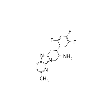 Cc1ccc2nc3n(c2n1)CC(N)[C@@H](C1CC(F)=C(F)C=C1F)C3